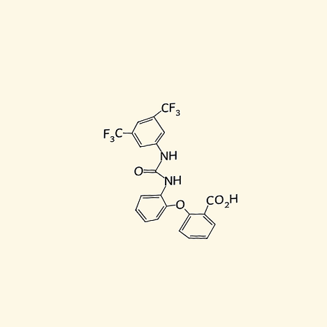 O=C(Nc1cc(C(F)(F)F)cc(C(F)(F)F)c1)Nc1ccccc1Oc1ccccc1C(=O)O